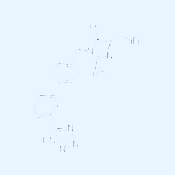 CCCc1nn(CC(C)C)c(=O)n1Cc1ccc(-c2cccc(-c3nnn[nH]3)c2)cc1